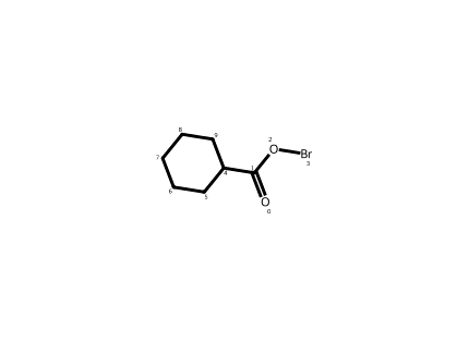 O=C(OBr)C1CCCCC1